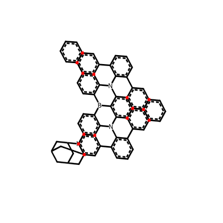 c1ccc(-c2ccc3c(c2)N(c2c(-c4ccccc4)cccc2-c2ccccc2)c2cc(-c4ccccc4)cc4c2B3c2ccc(N3C5CC6CC(C5)CC3C6)cc2N4c2c(-c3ccccc3)cccc2-c2ccccc2)cc1